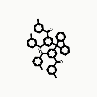 Cc1cccc(C(=O)c2cc(C(=O)c3cccc(C)c3)cc(C3(c4cc(C(=O)c5cccc(C)c5)cc(C(=O)c5cccc(C)c5)c4)c4ccccc4-c4ccccc43)c2)c1